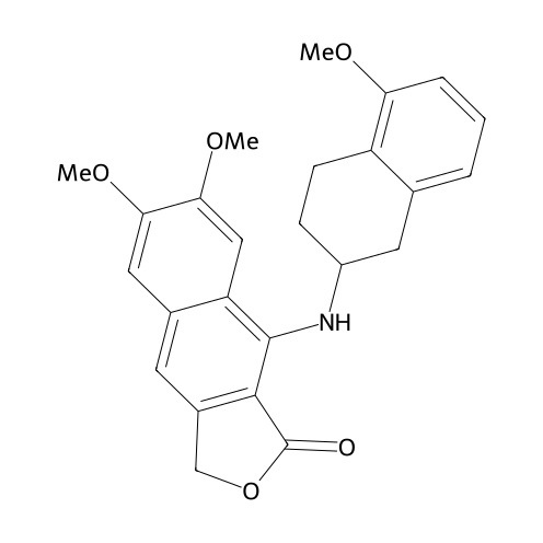 COc1cc2cc3c(c(NC4CCc5c(cccc5OC)C4)c2cc1OC)C(=O)OC3